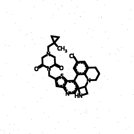 CC1(CN2CC(=O)N(Cc3cc4nccc(-c5cc(Cl)cc6c5N(C5CNC5)CCC6)c4s3)C(=O)C2)CC1